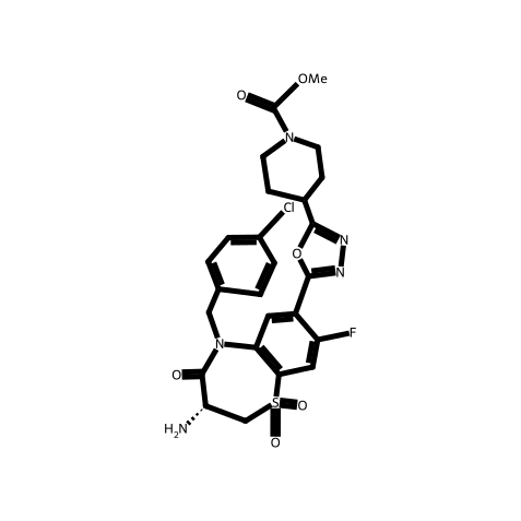 COC(=O)N1CCC(c2nnc(-c3cc4c(cc3F)S(=O)(=O)C[C@H](N)C(=O)N4Cc3ccc(Cl)cc3)o2)CC1